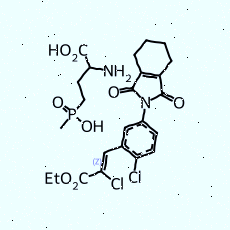 CCOC(=O)/C(Cl)=C/c1cc(N2C(=O)C3=C(CCCC3)C2=O)ccc1Cl.CP(=O)(O)CCC(N)C(=O)O